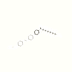 CCCCCCC[C@H]1CC[C@H](CC[C@H]2CC[C@H](c3ccc(C(=O)C(F)(F)C(F)(F)C(F)(F)C(F)(F)C(F)(F)C(F)(F)C(F)(F)F)cc3)CC2)CC1